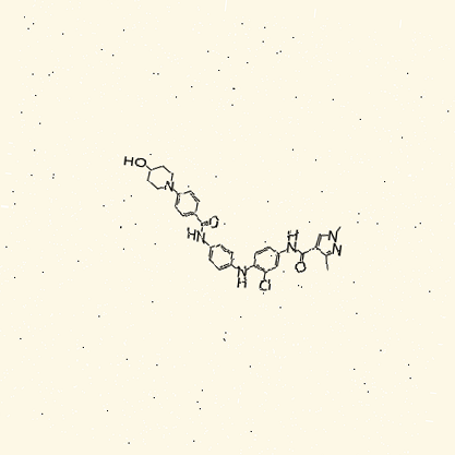 Cc1nn(C)cc1C(=O)Nc1ccc(Nc2ccc(NC(=O)c3ccc(N4CCC(O)CC4)cc3)cc2)c(Cl)c1